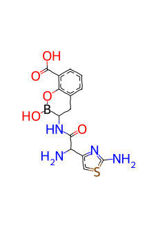 Nc1nc(C(N)C(=O)NC2Cc3cccc(C(=O)O)c3OB2O)cs1